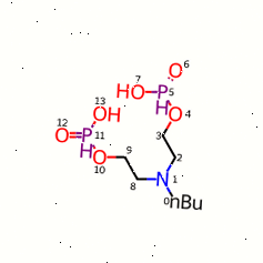 CCCCN(CCO[PH](=O)O)CCO[PH](=O)O